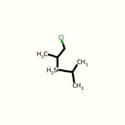 CC(C)[SiH2]C(C)CCl